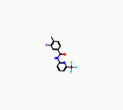 Cc1ccc(C(=O)Nc2cccc(C(F)(F)F)n2)cc1I